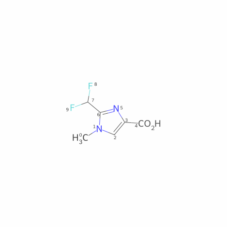 Cn1cc(C(=O)O)nc1C(F)F